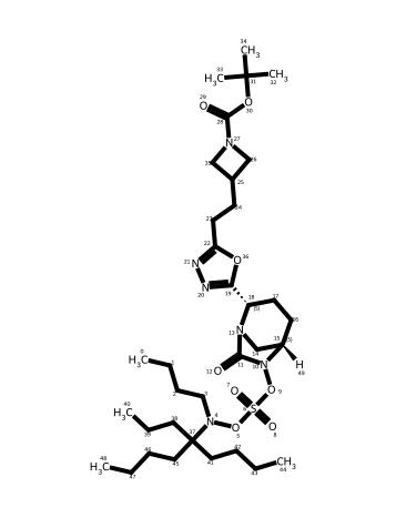 CCCCN(OS(=O)(=O)ON1C(=O)N2C[C@@H]1CC[C@H]2c1nnc(CCC2CN(C(=O)OC(C)(C)C)C2)o1)C(CCC)(CCCC)CCCC